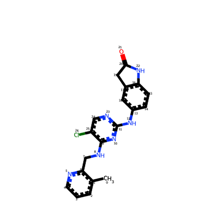 Cc1cccnc1CNc1nc(Nc2ccc3c(c2)CC(=O)N3)ncc1Cl